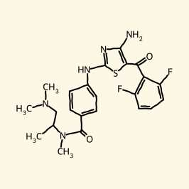 CC(CN(C)C)N(C)C(=O)c1ccc(Nc2nc(N)c(C(=O)c3c(F)cccc3F)s2)cc1